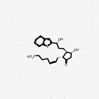 O=C(O)CCC/C=C\C[C@H]1C(=O)C[C@@H](O)[C@@H]1CC[C@@H](O)c1cc2ccccc2s1